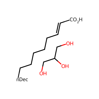 CCCCCCCCCCCCCCCC=CC(=O)O.OCC(O)CO